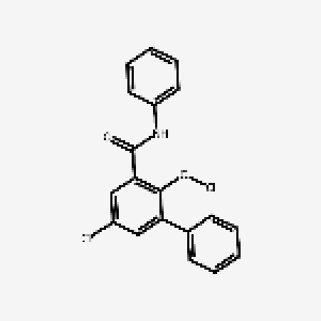 O=C(Nc1ccccc1)c1cc(Cl)cc(-c2ccccc2)c1OCl